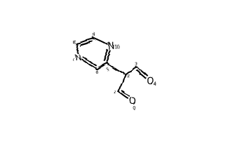 O=CC(C=O)c1cnccn1